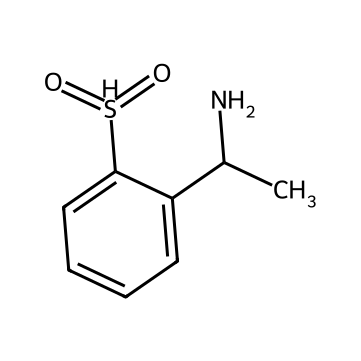 CC(N)c1ccccc1[SH](=O)=O